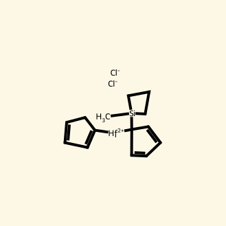 C[Si]1([C]2([Hf+2][C]3=CC=CC3)C=CC=C2)CCC1.[Cl-].[Cl-]